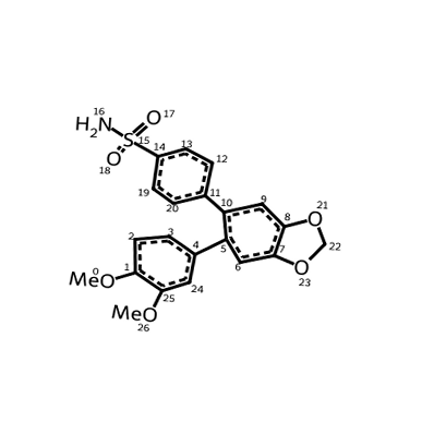 COc1ccc(-c2cc3c(cc2-c2ccc(S(N)(=O)=O)cc2)OCO3)cc1OC